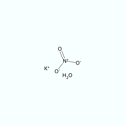 O.O=[N+]([O-])[O-].[K+]